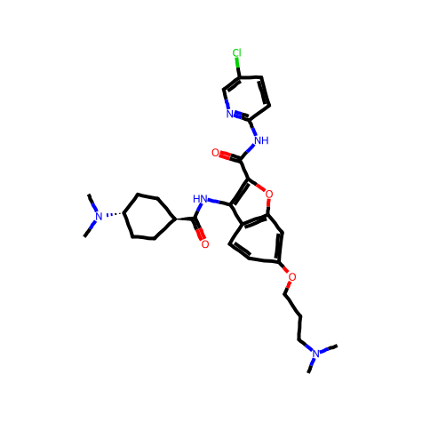 CN(C)CCCOc1ccc2c(NC(=O)[C@H]3CC[C@H](N(C)C)CC3)c(C(=O)Nc3ccc(Cl)cn3)oc2c1